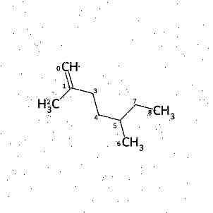 [CH]=C(C)CCC(C)CC